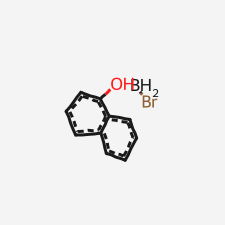 BBr.Oc1cccc2ccccc12